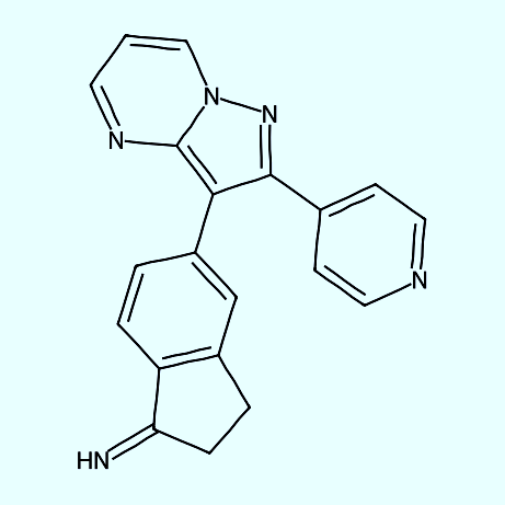 N=C1CCc2cc(-c3c(-c4ccncc4)nn4cccnc34)ccc21